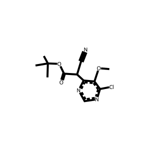 COc1c(Cl)ncnc1C(C#N)C(=O)OC(C)(C)C